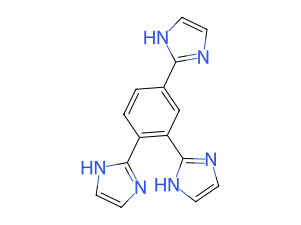 c1c[nH]c(-c2ccc(-c3ncc[nH]3)c(-c3ncc[nH]3)c2)n1